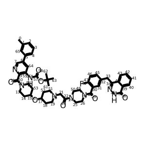 Cc1cccc(-c2cnc(C(=O)N3CCC(OC4CCN(CC(=O)N5CCN(C(=O)c6cc(Cc7n[nH]c(=O)c8ccccc78)ccc6F)CC5)CC4)CC3)c(NC(=O)OC(C)(C)C)c2)c1